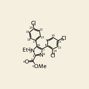 CCn1c(C(=O)OC)nc(-c2ccc(Cl)cc2Cl)c1-c1ccc(Cl)cc1